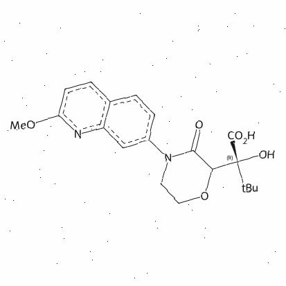 COc1ccc2ccc(N3CCOC([C@@](O)(C(=O)O)C(C)(C)C)C3=O)cc2n1